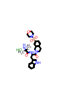 CC(C)(N)C(=O)NC(Cc1c[nH]c2ccccc12)C(=O)N1CCc2ccc(S(=O)(=O)N3CCOCC3)cc2C1.Cl